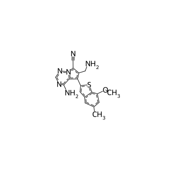 COc1cc(C)cc2cc(-c3c(CN)c(C#N)n4ncnc(N)c34)sc12